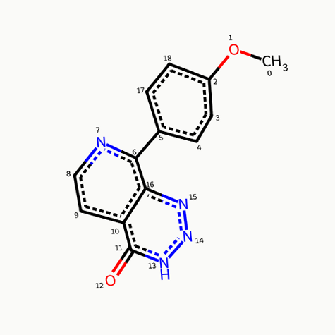 COc1ccc(-c2nccc3c(=O)[nH]nnc23)cc1